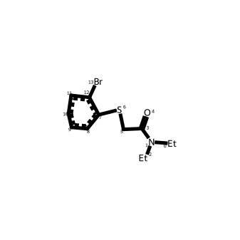 CCN(CC)C(=O)CSc1ccccc1Br